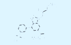 CCS(=O)(=O)c1cccc(-c2cc(C(=O)NC)cc3c2nnn3C/C(F)=C/CN)c1.Cl